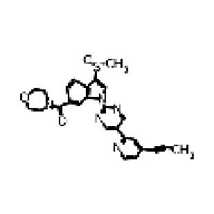 CC#Cc1ccnc(-c2cnc(-n3cc([S+](C)[O-])c4ccc(C(=O)N5CCOCC5)cc43)nc2)c1